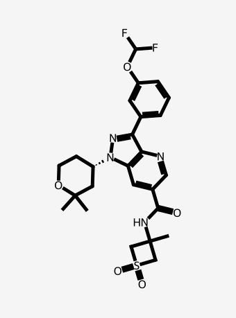 CC1(NC(=O)c2cnc3c(-c4cccc(OC(F)F)c4)nn([C@H]4CCOC(C)(C)C4)c3c2)CS(=O)(=O)C1